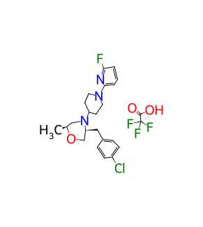 C[C@H]1CN(C2CCN(c3cccc(F)n3)CC2)[C@@H](Cc2ccc(Cl)cc2)CO1.O=C(O)C(F)(F)F